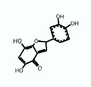 O=C1C(O)=CC(O)=C2OC(c3ccc(O)c(O)c3)C=C12